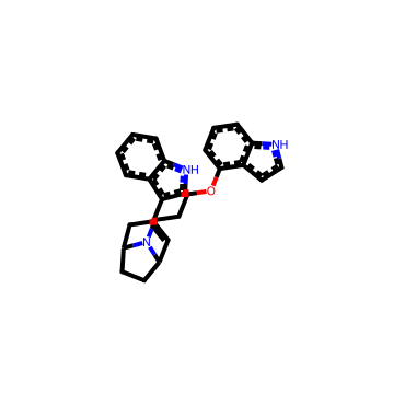 C1=C(c2c[nH]c3ccccc23)CC2CCC1N2CCCOc1cccc2[nH]ccc12